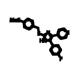 CSc1ccc(CSc2nc(-c3ccncc3)c(-c3ccc(F)cc3)[nH]2)cc1